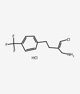 Cl.NCC(=CCl)CCc1ccc(C(F)(F)F)cc1